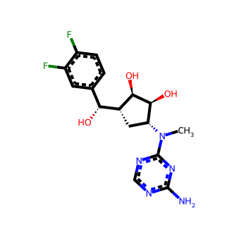 CN(c1ncnc(N)n1)[C@@H]1C[C@H]([C@H](O)c2ccc(F)c(F)c2)[C@@H](O)[C@H]1O